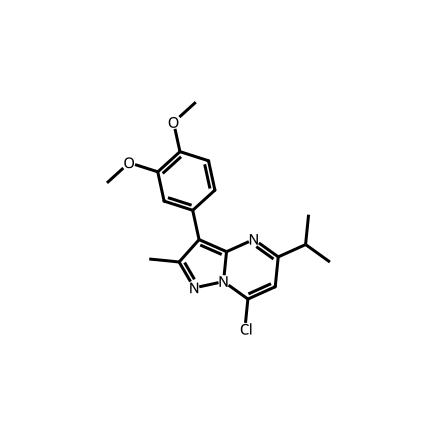 COc1ccc(-c2c(C)nn3c(Cl)cc(C(C)C)nc23)cc1OC